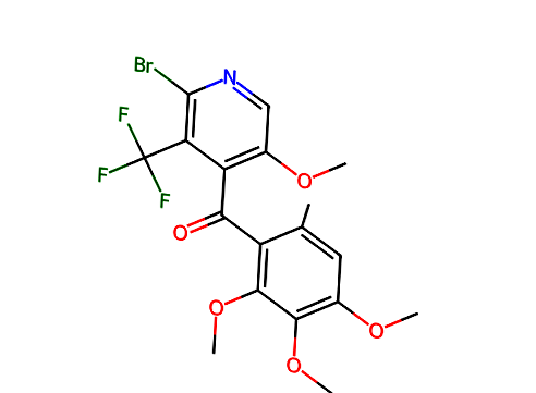 COc1cc(C)c(C(=O)c2c(OC)cnc(Br)c2C(F)(F)F)c(OC)c1OC